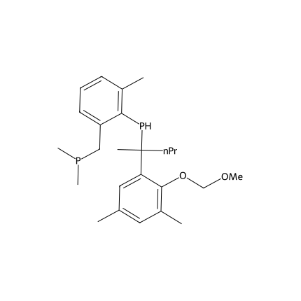 CCCC(C)(Pc1c(C)cccc1CP(C)C)c1cc(C)cc(C)c1OCOC